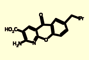 CC(C)Cc1ccc2oc3nc(N)c(C(=O)O)cc3c(=O)c2c1